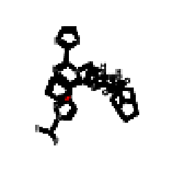 O=S(=O)(NC1CC2=C(c3ccn(C(F)F)n3)CN=C(c3nccs3)N2C1)C1C2CCC1CC(O)(c1nc(-c3ccccn3)c[nH]1)C2